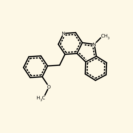 COc1ccccc1Cc1cncc2c1c1ccccc1n2C